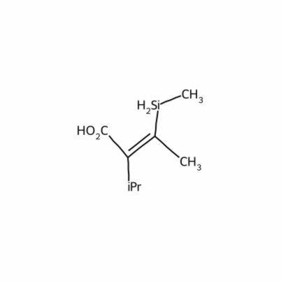 C[SiH2]C(C)=C(C(=O)O)C(C)C